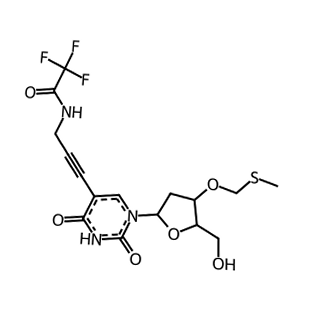 CSCOC1CC(n2cc(C#CCNC(=O)C(F)(F)F)c(=O)[nH]c2=O)OC1CO